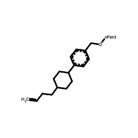 C=CCCC1CCC(c2ccc(COCCCCC)cc2)CC1